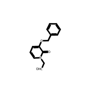 O=CCn1cccc(OCc2ccccc2)c1=O